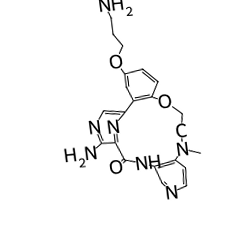 CN1CCOc2ccc(OCCCN)cc2-c2cnc(N)c(n2)C(=O)Nc2cnccc21